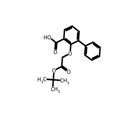 CC(C)(C)OC(=O)COc1c(C(=O)O)cccc1-c1ccccc1